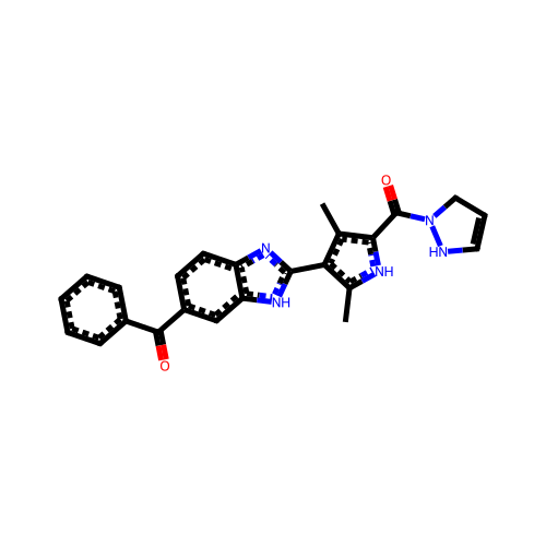 Cc1[nH]c(C(=O)N2CC=CN2)c(C)c1-c1nc2ccc(C(=O)c3ccccc3)cc2[nH]1